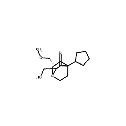 COC[C@]1(CO)C(=O)C2(C3CCCC3)CCN1CC2